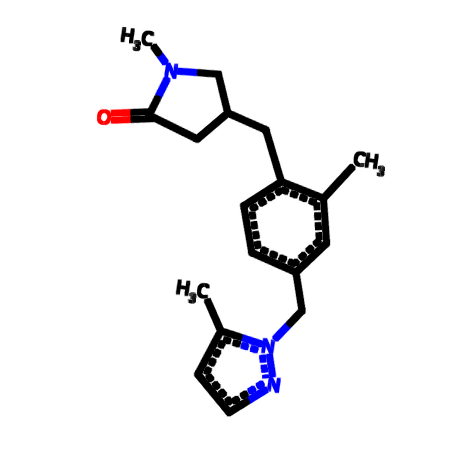 Cc1cc(Cn2nccc2C)ccc1CC1CC(=O)N(C)C1